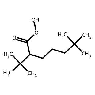 CC(C)(C)CCCC(C(=O)OO)C(C)(C)C